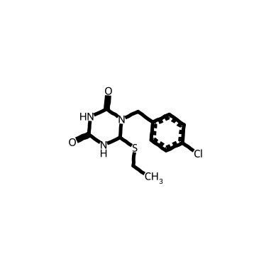 CCSC1NC(=O)NC(=O)N1Cc1ccc(Cl)cc1